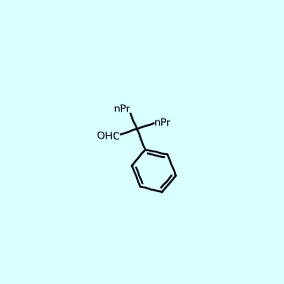 CCCC(C=O)(CCC)c1ccccc1